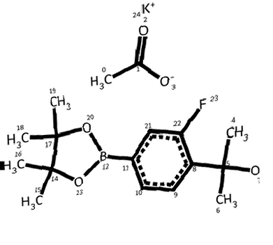 CC(=O)[O-].CC(C)(O)c1ccc(B2OC(C)(C)C(C)(C)O2)cc1F.[K+]